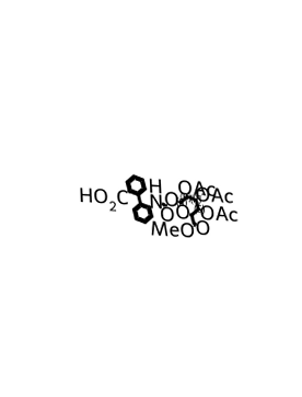 COC(=O)C1O[C@@H](OC(=O)Nc2ccccc2-c2ccccc2C(=O)O)[C@H](OC(C)=O)[C@H](OC(C)=O)[C@@H]1OC(C)=O